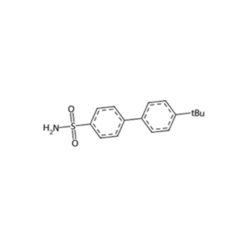 CC(C)(C)c1ccc(-c2ccc(S(N)(=O)=O)cc2)cc1